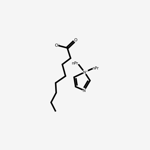 CCCCCCCC(=O)[O-].CCC[N+]1(CCC)C=CN=C1